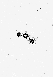 Cc1ccccc1COc1ccc(NC(=O)c2c(Cl)c(Cl)c(Cl)c(Cl)c2C(=O)O)cc1Cl